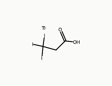 O=C(O)CC(I)(I)I.[Tl]